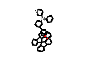 c1ccc(N(c2cccnc2)c2cccc(-c3ccc(-c4cccc5c4C4(c6ccccc6-5)c5ccccc5-c5ccc6ccccc6c54)cc3)c2)cc1